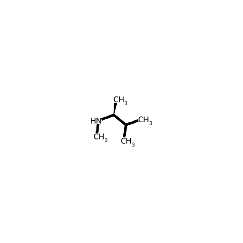 CN[C@@H](C)C(C)C